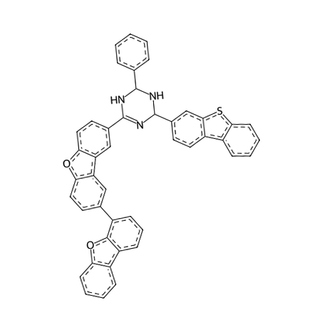 c1ccc(C2NC(c3ccc4oc5ccc(-c6cccc7c6oc6ccccc67)cc5c4c3)=NC(c3ccc4c(c3)sc3ccccc34)N2)cc1